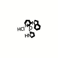 Cl.c1ccc2c(c1)CCN2c1cccnc1OC[C@@H]1CCCN1